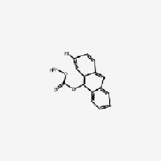 CCCOC(=O)Oc1c2ccccc2cc2ccc(CC)cc12